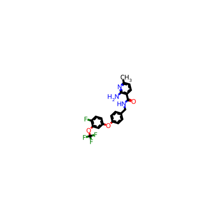 Cc1ccc(C(=O)NCc2ccc(Oc3ccc(F)c(OC(F)(F)F)c3)cc2)c(N)n1